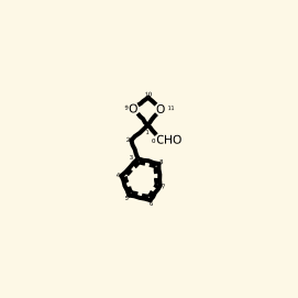 O=CC1(Cc2ccccc2)OCO1